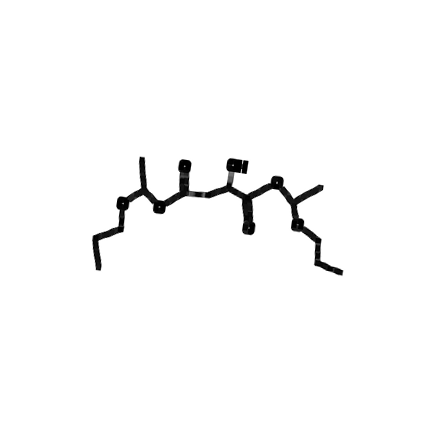 CCCOC(C)OC(=O)CC(O)C(=O)OC(C)OCCC